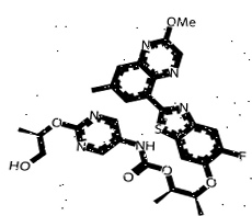 COc1cnc2c(-c3nc4cc(F)c(O[C@@H](C)[C@@H](C)OC(=O)Nc5cnc(O[C@H](C)CO)nc5)cc4s3)cc(C)cc2n1